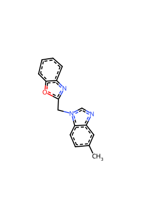 Cc1ccc2c(c1)ncn2Cc1nc2ccccc2o1